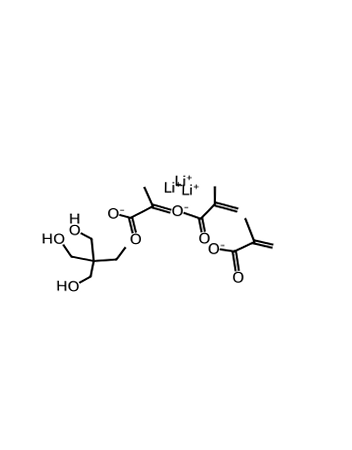 C=C(C)C(=O)[O-].C=C(C)C(=O)[O-].C=C(C)C(=O)[O-].CCC(CO)(CO)CO.[Li+].[Li+].[Li+]